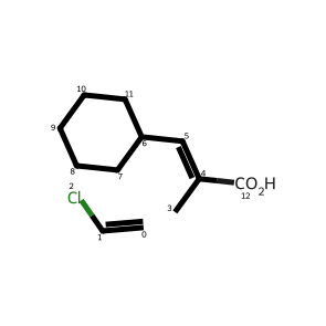 C=CCl.CC(=CC1CCCCC1)C(=O)O